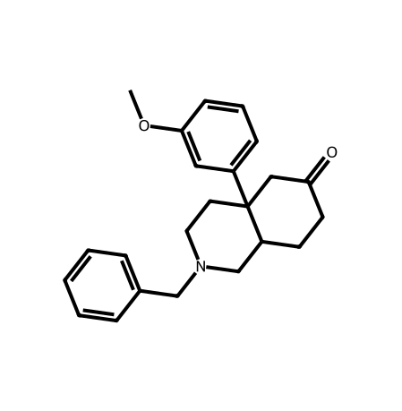 COc1cccc(C23CCN(Cc4ccccc4)CC2CCC(=O)C3)c1